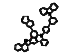 c1cc(-c2ccc3ccccc3c2)cc(N(c2ccc(-c3cccc(-n4c5ccccc5c5ccccc54)c3)cc2)c2ccccc2-c2ccc3oc4c5ccccc5ccc4c3c2)c1